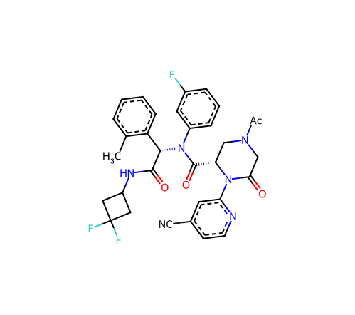 CC(=O)N1CC(=O)N(c2cc(C#N)ccn2)[C@H](C(=O)N(c2cccc(F)c2)[C@H](C(=O)NC2CC(F)(F)C2)c2ccccc2C)C1